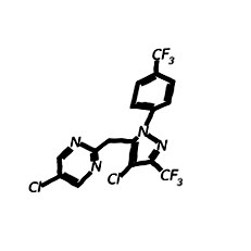 FC(F)(F)c1ccc(-n2nc(C(F)(F)F)c(Cl)c2Cc2ncc(Cl)cn2)cc1